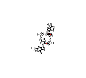 Nc1nc2c(ncn2[C@@H]2O[C@@H]3COP(=O)(O)O[C@@H]4[C@H](O)[C@@H](COP(=O)(O)O[C@@H]2[C@@H]3F)O[C@H]4n2cnc3c(N)ncnc32)c(=O)[nH]1